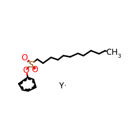 CCCCCCCCCCCCS(=O)(=O)Oc1ccccc1.[Y]